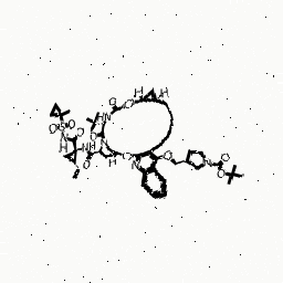 C=C[C@@H]1C[C@]1(NC(=O)[C@@H]1C[C@@H]2CN1C(=O)[C@H](C(C)(C)C)NC(=O)O[C@@H]1C[C@H]1CCCCCc1c(nc3ccccc3c1OC[C@H]1CCN(C(=O)OC(C)(C)C)C1)O2)C(=O)NS(=O)(=O)C1(C)CC1